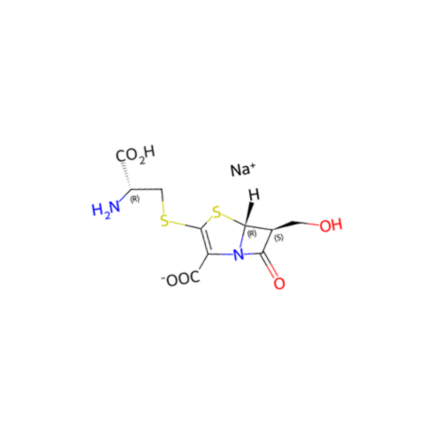 N[C@@H](CSC1=C(C(=O)[O-])N2C(=O)[C@H](CO)[C@H]2S1)C(=O)O.[Na+]